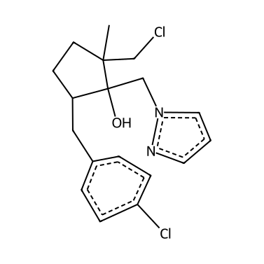 CC1(CCl)CCC(Cc2ccc(Cl)cc2)C1(O)Cn1cccn1